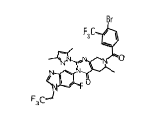 Cc1cc(C)n(-c2nc3c(c(=O)n2-c2cc4ncn(CC(F)(F)F)c4cc2F)CC(C)N(C(=O)c2ccc(Br)c(C(F)(F)F)c2)C3)n1